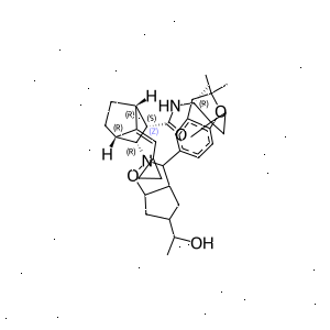 CC(O)C1CC2ON([C@H]3[C@@H](C(=O)N[C@H](C)C4(C)CC4)[C@H]4CC[C@@H]3/C4=C\C3CC3)C(c3ccc4c(c3)CC(C)(C)O4)C2C1